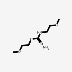 COCCNC(=O)OCCOC.N